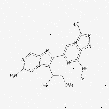 COCC(C)n1c(-c2cn3c(C)nnc3c(NC(C)C)n2)nc2cnc(N)cc21